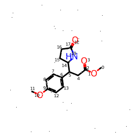 COC(=O)CC(c1ccc(OC)cc1)C1CCC(=O)N1